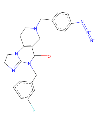 [N-]=[N+]=Nc1ccc(CN2CCC3=C(C2)C(=O)N(Cc2cccc(F)c2)C2=NCCN23)cc1